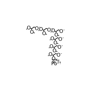 COC(C[O-])OC.COC(C[O-])OC.COC(C[O-])OC.COC(C[O-])OC.COC(C[O-])OC.COC(C[O-])OC.[Pb+2].[Ti+4]